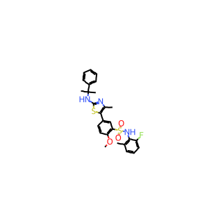 COc1ccc(-c2sc(NC(C)(C)c3ccccc3)nc2C)cc1S(=O)(=O)Nc1c(C)cccc1F